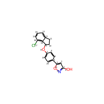 Oc1cc(-c2ccc(OC3CCc4cccc(Cl)c43)cc2)on1